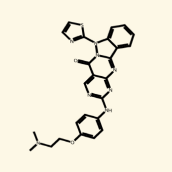 CN(C)CCOc1ccc(Nc2ncc3c(=O)n4c(nc3n2)c2ccccc2n4-c2nccs2)cc1